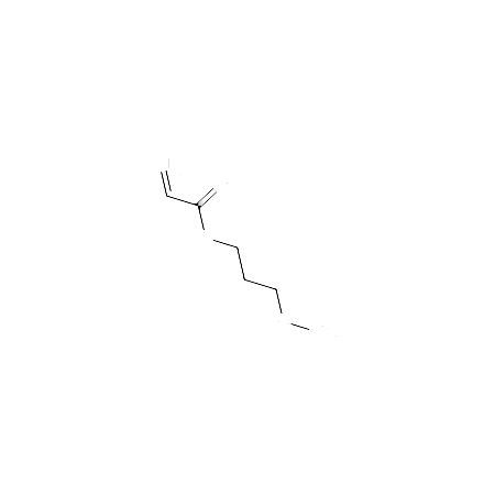 C=CC(=O)OCCCOCCCC